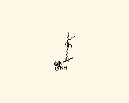 CCCCC(CCCC)CCOC(=O)CCCCCCCN(CCCC)CCCNc1c(NC)c(=O)c1=O